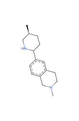 C[C@H]1CCC(c2ccc3c(c2)CCN(C)C3)NC1